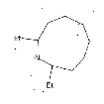 CCC1CCCCCCC(CC)[N]1